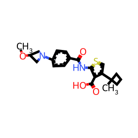 COC1CN(c2ccc(C(=O)Nc3scc(C4(C)CCC4)c3C(=O)O)cc2)C1